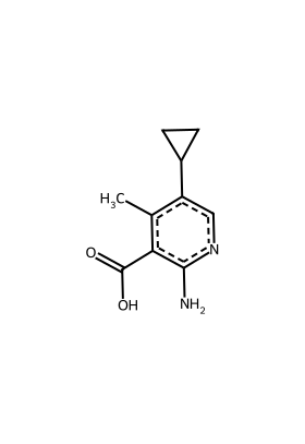 Cc1c(C2CC2)cnc(N)c1C(=O)O